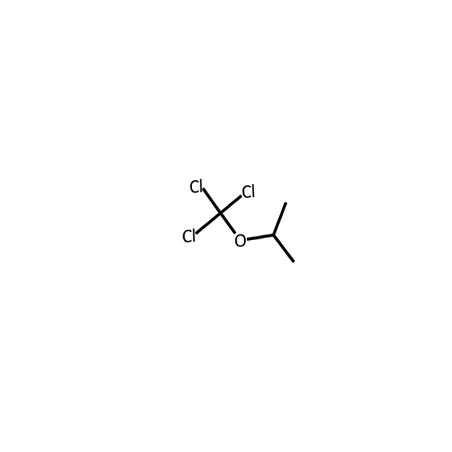 CC(C)OC(Cl)(Cl)Cl